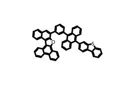 c1cc(-c2c3ccccc3c(-c3ccc4c(c3)sc3ccccc34)c3ccccc23)cc(-c2cc3ccccc3c3c2oc2c4ccccc4c4ccccc4c23)c1